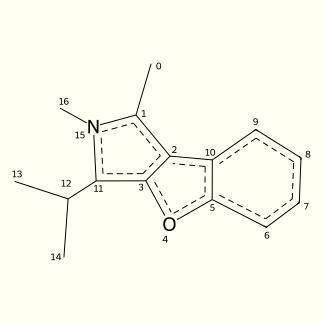 Cc1c2c(oc3ccccc32)c(C(C)C)n1C